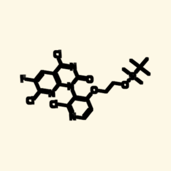 CC(C)(C)[Si](C)(C)OCCOc1ccnc(Cl)c1-n1c(=O)nc(Cl)c2cc(F)c(Cl)nc21